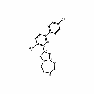 Cc1ccc(-c2ccc(Cl)cc2)cc1C1CN2CCOCCN2C1